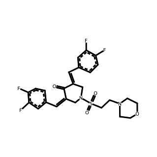 O=C1C(=Cc2ccc(F)c(F)c2)CN(S(=O)(=O)CCN2CCOCC2)CC1=Cc1ccc(F)c(F)c1